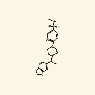 CNS(=O)(=O)c1cnc(N2CCN([C@@H](C)c3ccc4c(c3)OCC4)CC2)nc1